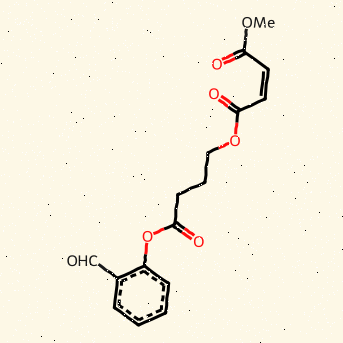 COC(=O)/C=C\C(=O)OCCCC(=O)Oc1ccccc1C=O